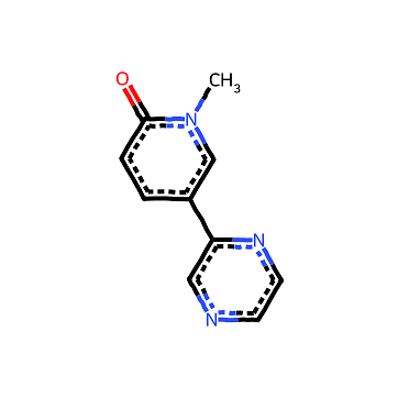 Cn1cc(-c2cnccn2)ccc1=O